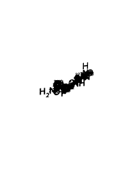 COC1N=CC(c2nc(NC(=O)Cc3ccc(Oc4ncccc4C(N)=O)c(F)c3)sc2C)=CN1